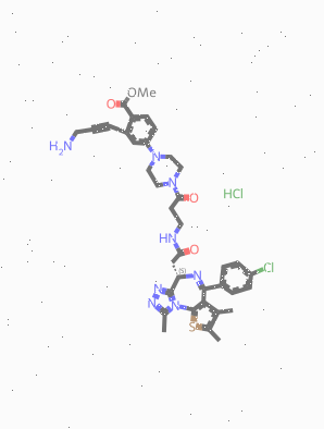 COC(=O)c1ccc(N2CCN(C(=O)CCNC(=O)C[C@@H]3N=C(c4ccc(Cl)cc4)c4c(sc(C)c4C)-n4c(C)nnc43)CC2)cc1C#CCN.Cl